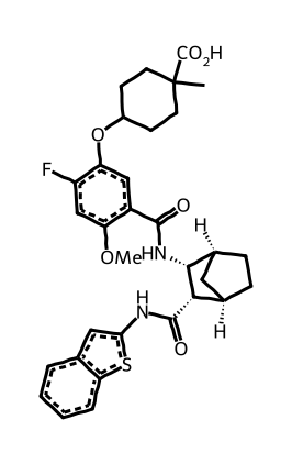 COc1cc(F)c(OC2CCC(C)(C(=O)O)CC2)cc1C(=O)N[C@@H]1[C@H]2CC[C@H](C2)[C@@H]1C(=O)Nc1cc2ccccc2s1